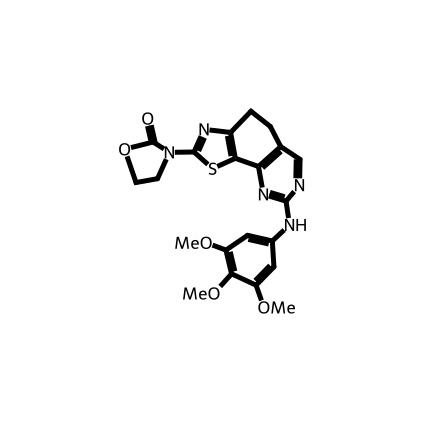 COc1cc(Nc2ncc3c(n2)-c2sc(N4CCOC4=O)nc2CC3)cc(OC)c1OC